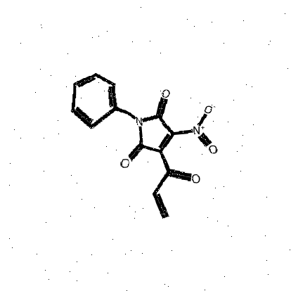 C=CC(=O)C1=C([N+](=O)[O-])C(=O)N(c2ccccc2)C1=O